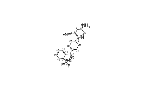 N#Cc1cc(N)cnc1N1CCN(C(=O)c2ccccc2C(F)(F)F)CC1